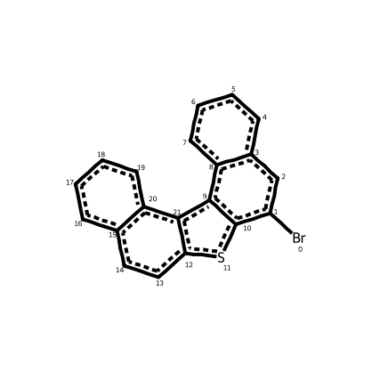 Brc1cc2ccccc2c2c1sc1ccc3ccccc3c12